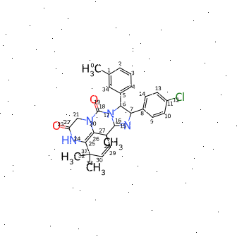 Cc1cccc(C2C(c3ccc(Cl)cc3)N=C3N2C(=O)N2CC(=O)NC4=C2C3(C)C=CC4(C)C)c1